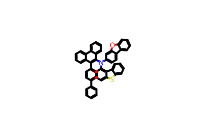 c1ccc(-c2ccc(-c3c(N(c4ccc5c(c4)oc4ccccc45)c4cccc5sc6ccccc6c45)c4ccccc4c4ccccc34)cc2)cc1